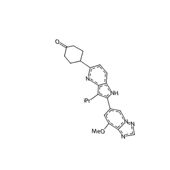 COc1cc(-c2[nH]c3ccc(C4CCC(=O)CC4)nc3c2C(C)C)cn2ncnc12